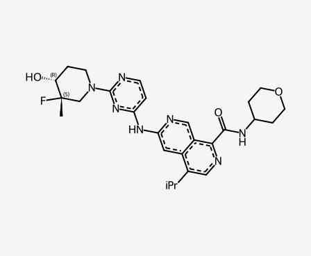 CC(C)c1cnc(C(=O)NC2CCOCC2)c2cnc(Nc3ccnc(N4CC[C@@H](O)[C@@](C)(F)C4)n3)cc12